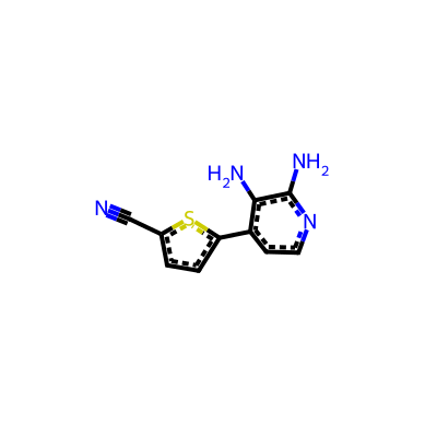 N#Cc1ccc(-c2ccnc(N)c2N)s1